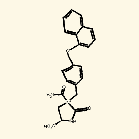 NC(=O)[N+]1(Cc2ccc(Oc3cccc4ccccc34)cc2)C[C@H](C(=O)O)NC1=O